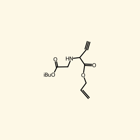 C#CC(NCC(=O)OCC(C)C)C(=O)OCC=C